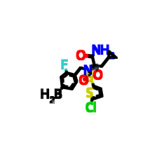 Bc1ccc(CN([C@H](CC2CC2)C(N)=O)S(=O)(=O)c2ccc(Cl)s2)c(F)c1